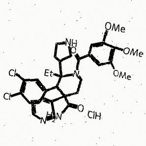 CCC1(C2CCNC2)C(c2ccc(Cl)c(Cl)c2)C(C(N)=O)(c2cccnc2)CCN1C(=O)c1cc(OC)c(OC)c(OC)c1.Cl